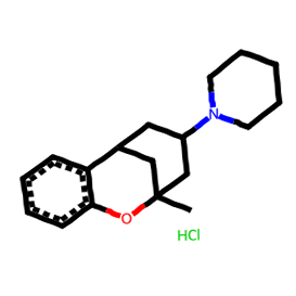 CC12CC(CC(N3CCCCC3)C1)c1ccccc1O2.Cl